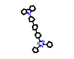 c1ccc(-c2nc(-c3ccccc3)nc(-c3ccc(-c4ccc(-c5ccc(-n6c7ccccc7c7ccccc76)cc5)cc4)cc3)n2)cc1